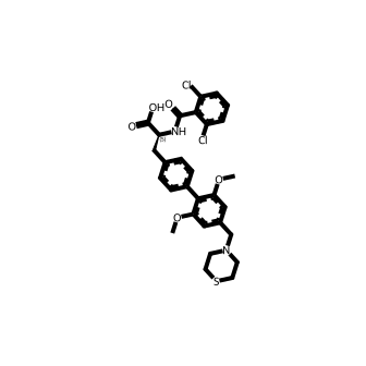 COc1cc(CN2CCSCC2)cc(OC)c1-c1ccc(C[C@H](NC(=O)c2c(Cl)cccc2Cl)C(=O)O)cc1